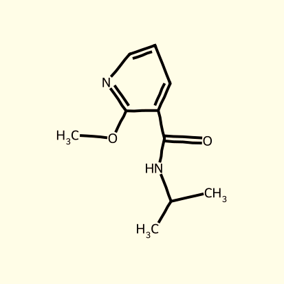 COc1ncccc1C(=O)NC(C)C